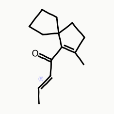 C/C=C/C(=O)C1=C(C)CCC12CCCC2